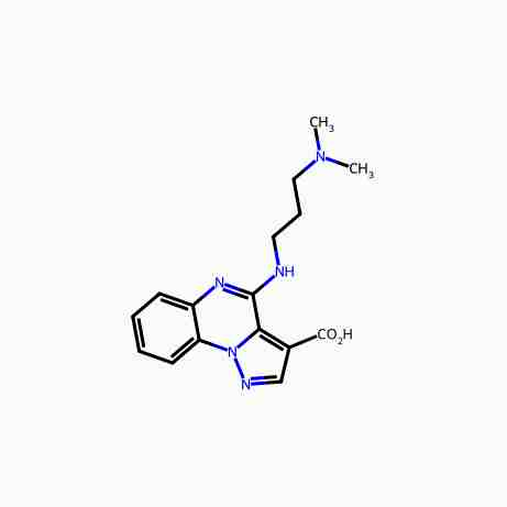 CN(C)CCCNc1nc2ccccc2n2ncc(C(=O)O)c12